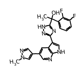 Cn1cc(-c2cnc3[nH]cc(-c4n[nH]c(C(C)(O)c5cccc(F)c5F)n4)c3c2)cn1